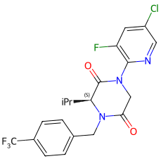 CC(C)[C@H]1C(=O)N(c2ncc(Cl)cc2F)CC(=O)N1Cc1ccc(C(F)(F)F)cc1